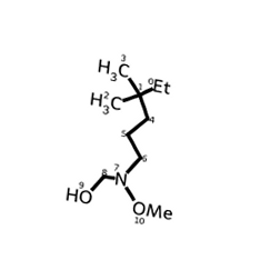 CCC(C)(C)CCCN(CO)OC